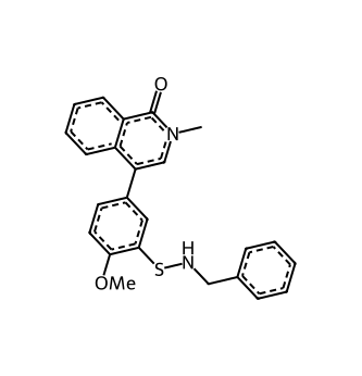 COc1ccc(-c2cn(C)c(=O)c3ccccc23)cc1SNCc1ccccc1